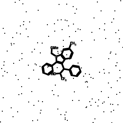 COCn1c(-c2ccccc2)c(C(c2ccccc2)C(O)C(F)(F)F)c2ccc(C)cc21